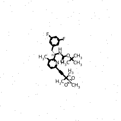 Cc1ccc(C#CC(C)(C)S(C)(=O)=O)nc1[C@H](Cc1cc(F)cc(F)c1)NC(=O)OC(C)(C)C